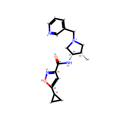 C[C@H]1CN(Cc2cccnc2)C[C@H]1NC(=O)c1cc(C2CC2)on1